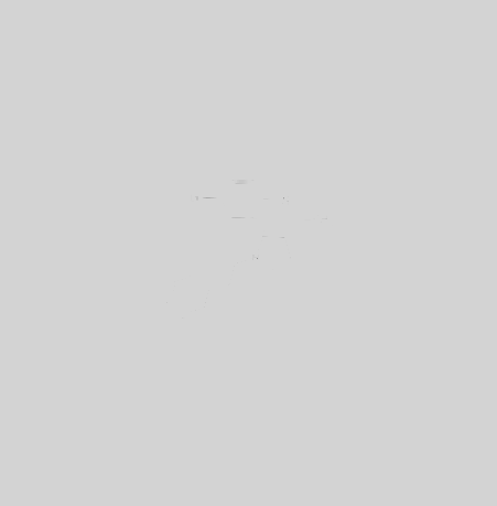 Cc1nc2ccc(Br)cc2c2c1CCN2CCc1ccccc1